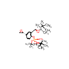 CC(C)(C)OP(=O)(Oc1ccc([C@@H]2CO2)cc1CO[Si](C)(C)C(C)(C)C)OC(C)(C)C